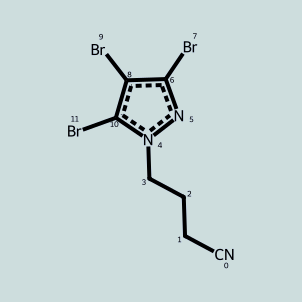 N#CCCCn1nc(Br)c(Br)c1Br